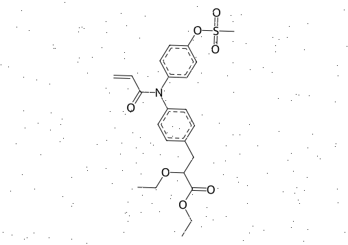 C=CC(=O)N(c1ccc(CC(OCC)C(=O)OCC)cc1)c1ccc(OS(C)(=O)=O)cc1